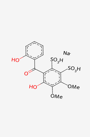 COc1c(O)c(C(=O)c2ccccc2O)c(S(=O)(=O)O)c(S(=O)(=O)O)c1OC.[Na]